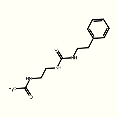 CC(=O)NCCNC(=O)NCCc1ccccc1